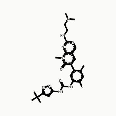 Cc1cc(F)c(NC(=O)Nc2cc(C(C)(C)C)on2)cc1-c1cc2cnc(NCCN(C)C)nc2n(C)c1=O